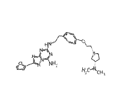 CN(C)[C@H]1CCN(CCOc2ccc(CCNc3nc(N)n4nc(-c5ccco5)nc4n3)cc2)C1